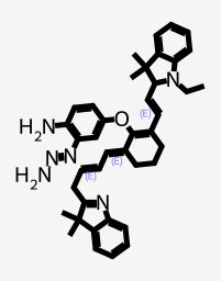 CCN1c2ccccc2C(C)(C)C1/C=C/C1=C(Oc2ccc(N)c(N=NN)c2)C(=C/C=C/CC2=Nc3ccccc3C2(C)C)/CCC1